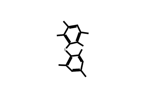 Cc1cc(C)c(Sc2c(C)c(C)cc(C)c2C)c(C)c1